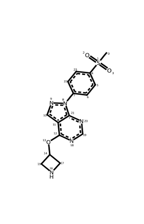 CS(=O)(=O)c1ccc(-n2ncc3c(OC4CNC4)ncnc32)cc1